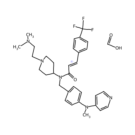 CN(C)CCN1CCC(N(Cc2ccc(N(C)c3ccncc3)cc2)C(=O)/C=C/c2ccc(C(F)(F)F)cc2)CC1.O=CO